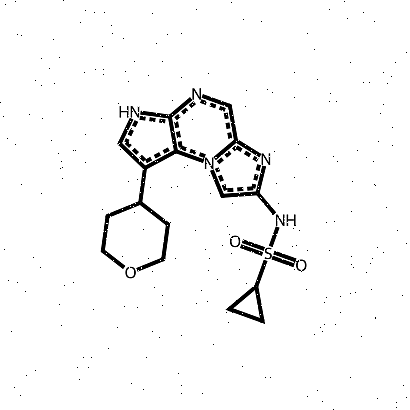 O=S(=O)(Nc1cn2c(cnc3[nH]cc(C4CCOCC4)c32)n1)C1CC1